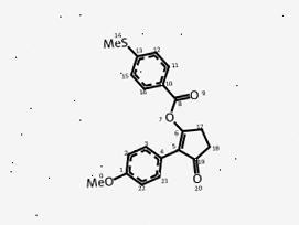 COc1ccc(C2=C(OC(=O)c3ccc(SC)cc3)CCC2=O)cc1